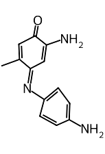 CC1=CC(=O)C(N)=CC1=Nc1ccc(N)cc1